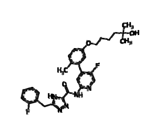 Cc1ccc(OCCCCC(C)(C)O)cc1-c1cc(NC(=O)c2nnc(Cc3ccccc3F)[nH]2)ncc1F